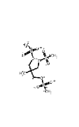 CC(COS(C)(=O)=O)(COS(C)(=O)=O)COS(C)(=O)=O